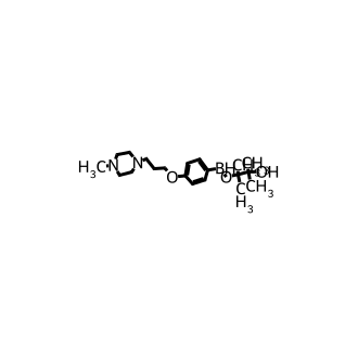 CN1CCN(CCCOc2ccc(BOC(C)(C)C(C)(C)O)cc2)CC1